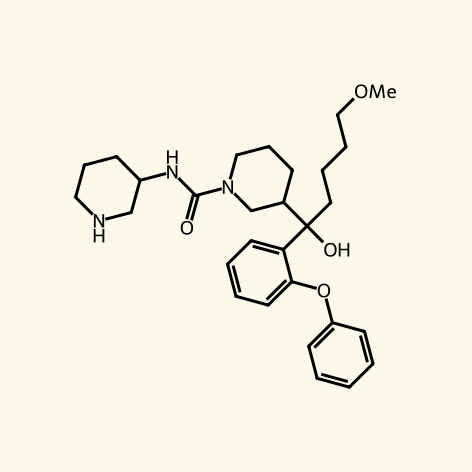 COCCCCC(O)(c1ccccc1Oc1ccccc1)C1CCCN(C(=O)NC2CCCNC2)C1